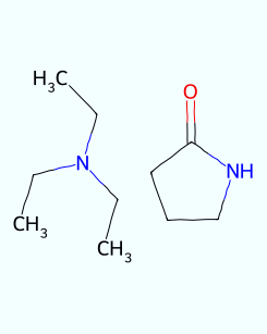 CCN(CC)CC.O=C1CCCN1